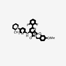 COc1ccc(CN2Cc3nc(-c4c(F)cccc4F)cc(Nc4ccc(N5CCCC[C@H]5C)cn4)c3C2=O)c(OC)c1